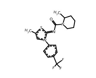 Cc1cn(-c2ccc(C(F)(F)F)cc2)/c(=N/C(=O)N2CCCCC2C)s1